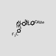 COc1ccc(Cn2nnc3cc(-c4nccnc4Sc4ccc(C(F)(F)F)cc4)ccc32)cc1